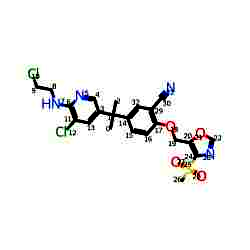 CC(C)(c1cnc(NCCCl)c(Cl)c1)c1ccc(OCc2ocnc2S(C)(=O)=O)c(C#N)c1